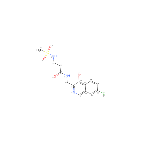 CS(=O)(=O)NCCC(=O)NCc1ncc2cc(Cl)ccc2c1Br